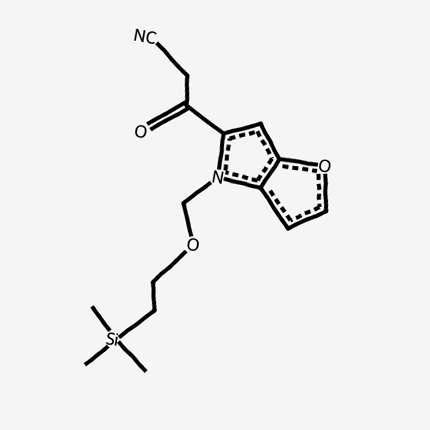 C[Si](C)(C)CCOCn1c(C(=O)CC#N)cc2occc21